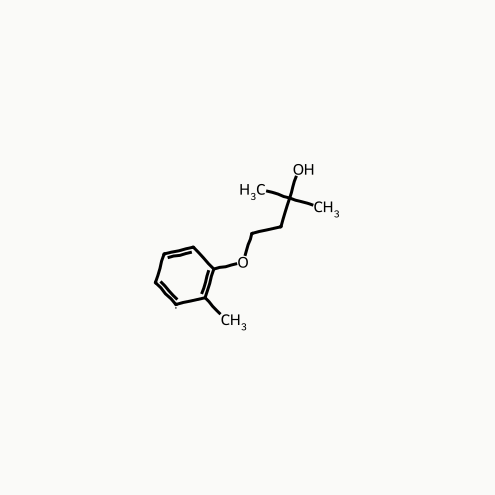 Cc1[c]cccc1OCCC(C)(C)O